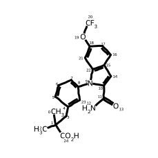 CC(C)(Cc1cccc(-n2c(C(N)=O)cc3ccc(OC(F)(F)F)cc32)c1)C(=O)O